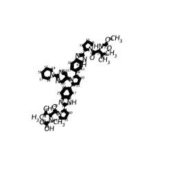 COC(=O)N[C@H](C(=O)N1CCC[C@H]1c1nc2ccc([C@H]3CC[C@H](c4ccc5nc([C@@H]6CCCN6C(=O)[C@H](C(C)C)N(C)C(=O)O)[nH]c5c4)N3c3cnc(N4CCCCC4)nc3)cc2[nH]1)C(C)C